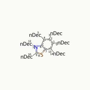 CCCCCCCCCCc1c(CCCCCCCCCC)c(CCCCCCCCCC)c2c(sc(CCCCCCCCCC)[n+]2CCCCCCCCCC)c1CCCCCCCCCC